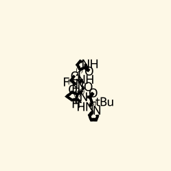 CC(C)(C)[C@H](Nc1ccccn1)C(=O)N1C[C@@H]2CCC[C@@H]2[C@H]1C(=O)N(NC[C@@H]1CCNC1=O)C(=O)[C@H](F)Cl